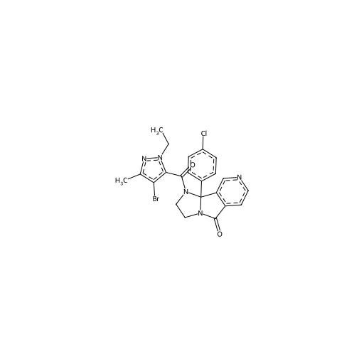 CCn1nc(C)c(Br)c1C(=O)N1CCN2C(=O)c3ccncc3C21c1ccc(Cl)cc1